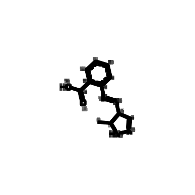 CC1NN=CC1N=Nc1ccccc1C(=O)O